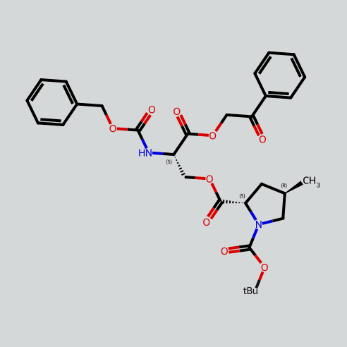 C[C@@H]1C[C@@H](C(=O)OC[C@H](NC(=O)OCc2ccccc2)C(=O)OCC(=O)c2ccccc2)N(C(=O)OC(C)(C)C)C1